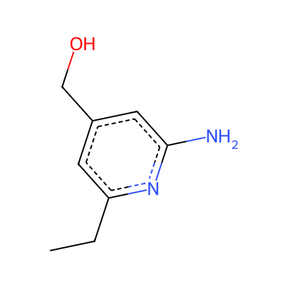 CCc1cc(CO)cc(N)n1